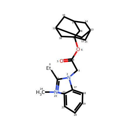 CCc1n(CC(=O)OC23CC4CC(CC(C4)C2)C3)c2ccccc2[n+]1C